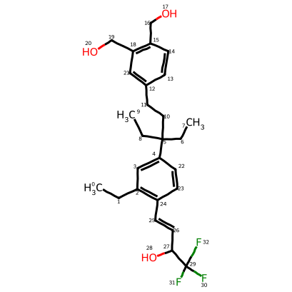 CCc1cc(C(CC)(CC)CCc2ccc(CO)c(CO)c2)ccc1C=CC(O)C(F)(F)F